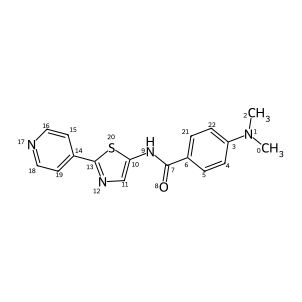 CN(C)c1ccc(C(=O)Nc2cnc(-c3ccncc3)s2)cc1